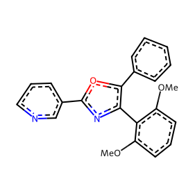 COc1cccc(OC)c1-c1nc(-c2cccnc2)oc1-c1ccccc1